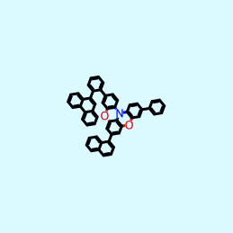 c1ccc(-c2ccc3c(c2)Oc2cc(-c4cccc5ccccc45)cc4c2N3c2ccc(-c3ccccc3-c3cc5ccccc5c5ccccc35)cc2O4)cc1